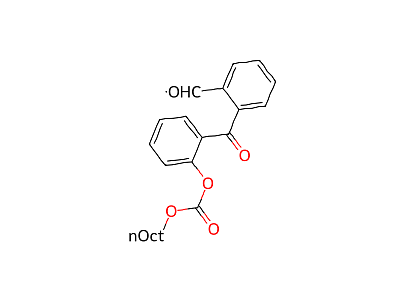 CCCCCCCCOC(=O)Oc1ccccc1C(=O)c1ccccc1[C]=O